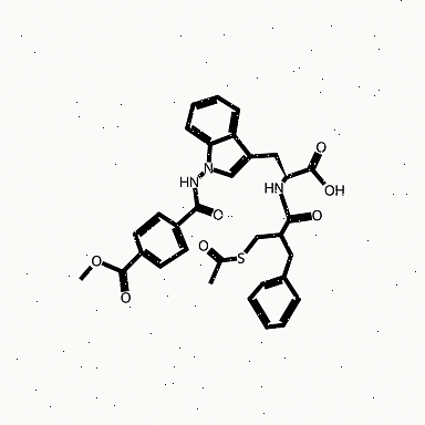 COC(=O)c1ccc(C(=O)Nn2cc(C[C@H](NC(=O)C(CSC(C)=O)Cc3ccccc3)C(=O)O)c3ccccc32)cc1